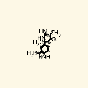 Bc1n[nH]c2ccc([C@]3(C)CC(=O)N(C)C(=N)N3)cc12